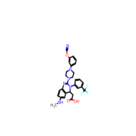 CNc1ccc2c(c1)C(CC(=O)O)N(c1cccc(C(F)(F)F)c1)C(N1CCN(c3cccc(OC#N)c3)CC1)=N2